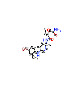 CC(NC(=O)[C]1CCOC1C(N)=O)c1ccc(Nc2ccc(Br)cc2C(F)(F)F)cn1